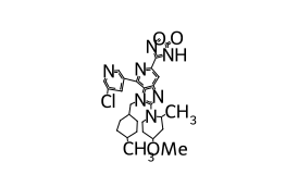 COC1CCN(c2nc3cc(-c4noc(=O)[nH]4)nc(-c4cncc(Cl)c4)c3n2CC2CCC(C)CC2)C(C)C1